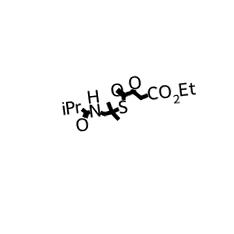 CCOC(=O)CC(=O)C(=O)SC(C)(C)CNC(=O)C(C)C